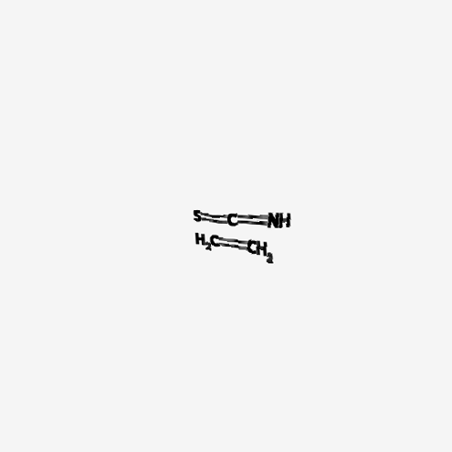 C=C.N=C=S